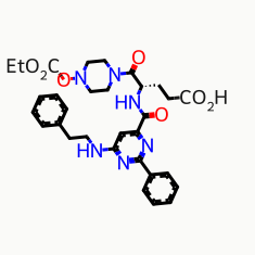 CCOC(=O)ON1CCN(C(=O)[C@H](CCC(=O)O)NC(=O)c2cc(NCCc3ccccc3)nc(-c3ccccc3)n2)CC1